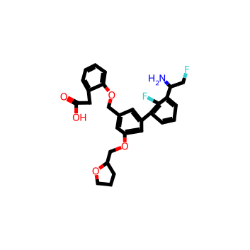 NC(CF)c1cccc(-c2cc(COc3ccccc3CC(=O)O)cc(OCC3CCCO3)c2)c1F